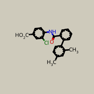 Cc1ccc(-c2ccccc2C(=O)Nc2ccc(C(=O)O)cc2Cl)c(C)c1